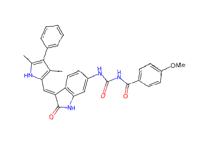 COc1ccc(C(=O)NC(=O)Nc2ccc3c(c2)NC(=O)C3=Cc2[nH]c(C)c(-c3ccccc3)c2C)cc1